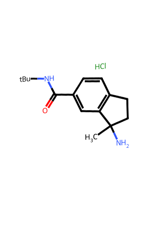 CC(C)(C)NC(=O)c1ccc2c(c1)C(C)(N)CC2.Cl